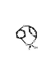 OP1(=S)Oc2ccc(cc2)Sc2ccc(cc2)O1